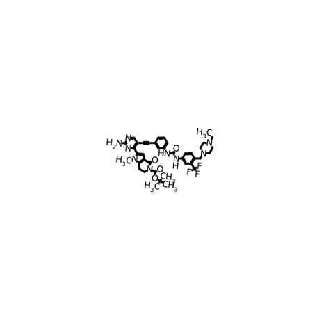 CCN1CCN(Cc2ccc(NC(=O)Nc3cccc(C#Cc4cnc(N)nc4-c4cc5c(n4C)CCN(C(=O)OC(C)(C)C)C5=O)c3)cc2C(F)(F)F)CC1